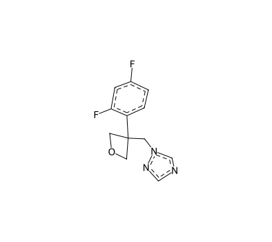 Fc1ccc(C2(Cn3cncn3)COC2)c(F)c1